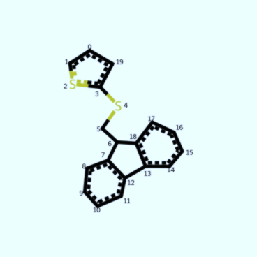 c1csc(SCC2c3ccccc3-c3ccccc32)c1